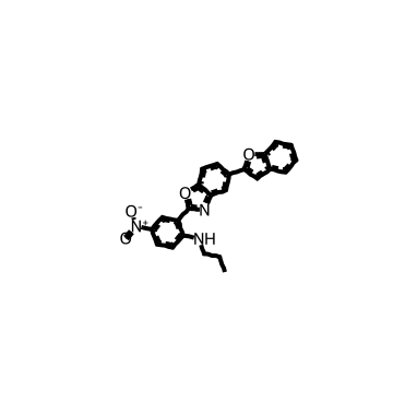 CCCNc1ccc([N+](=O)[O-])cc1-c1nc2cc(-c3cc4ccccc4o3)ccc2o1